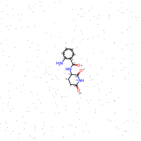 Nc1ccccc1C(=O)NC1CCC(=O)NC1=O